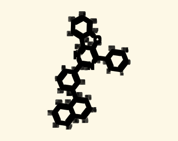 c1ccc(-c2nc(-c3cccc(-c4cccc5ccccc45)c3)nc3c2oc2ccccc23)cc1